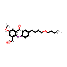 CCCCOCCCCc1ccc([I+]c2c(CO)cc(OC)cc2CO)cc1